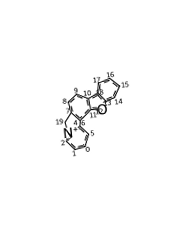 c1cc[n+]2c(c1)-c1c(ccc3c1oc1ccccc13)C2